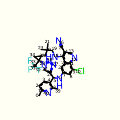 Cc1ccc(C(Nc2cc(Cl)c3ncc(C#N)c(NCC(C)(C)C)c3c2)c2cn(C3(C(F)(F)F)CC3)nn2)c(C)n1